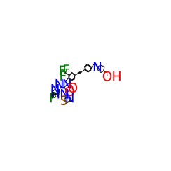 O=C(Nc1nccs1)C(C1N=CN2C[C@H](F)CC12)N1Cc2c(cc(C#Cc3ccc(CN4CCC(CO)CC4)cc3)cc2C(F)(F)F)C1=O